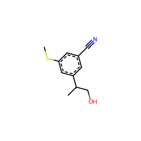 CSc1cc(C#N)cc([C](C)CO)c1